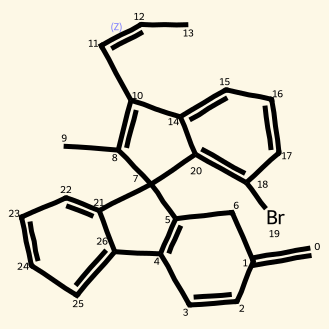 C=C1C=CC2=C(C1)C1(C(C)=C(/C=C\C)c3cccc(Br)c31)c1ccccc12